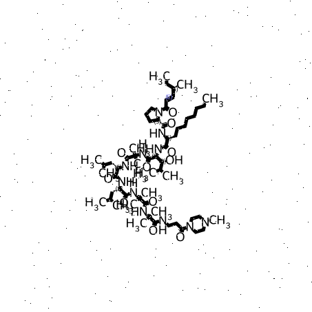 CCCCCCCC[C@H](NC(=O)[C@@H]1CCCN1C(=O)/C=C/[C@@H](C)CC)C(=O)N[C@H](C(=O)NC(C)(C)C(=O)N[C@@H](CC(C)C)C(=O)N[C@@H](CC(C)C)C(=O)NC(C)(C)C(=O)NC(C)(C)C(=O)NCCC(=O)N1CCN(C)CC1)[C@H](O)C(C)C